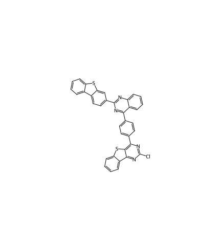 Clc1nc(-c2ccc(-c3nc(-c4ccc5c(c4)sc4ccccc45)nc4ccccc34)cc2)c2sc3ccccc3c2n1